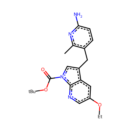 CCOc1cnc2c(c1)c(Cc1ccc(N)nc1C)cn2C(=O)OC(C)(C)C